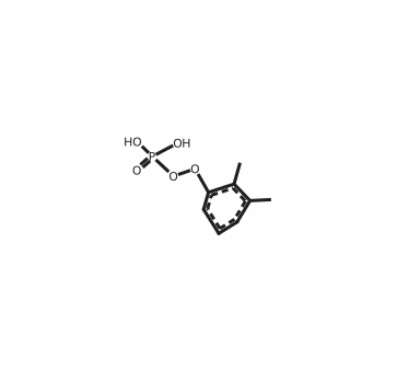 Cc1cccc(OOP(=O)(O)O)c1C